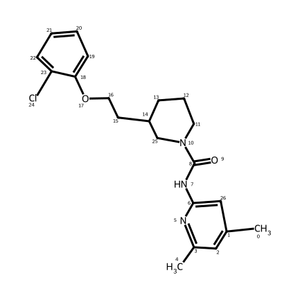 Cc1cc(C)nc(NC(=O)N2CCCC(CCOc3ccccc3Cl)C2)c1